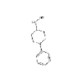 CCCNN1CCN(c2ccccc2)CC1